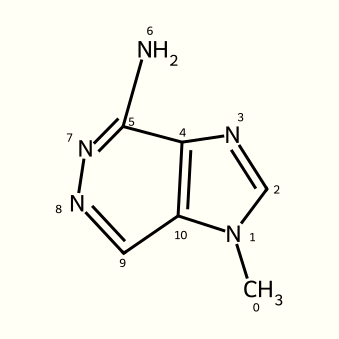 Cn1cnc2c(N)nncc21